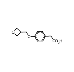 O=C(O)Cc1ccc(OCC2COC2)cc1